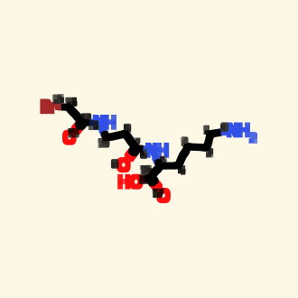 NCCCCC(NC(=O)CCNC(=O)CBr)C(=O)O